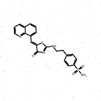 NS(=O)(=O)c1ccc(CCNC2=NC(=O)C(=Cc3cccc4cccnc34)S2)cc1